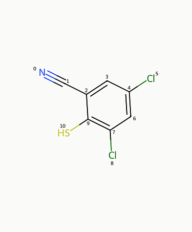 N#Cc1cc(Cl)cc(Cl)c1S